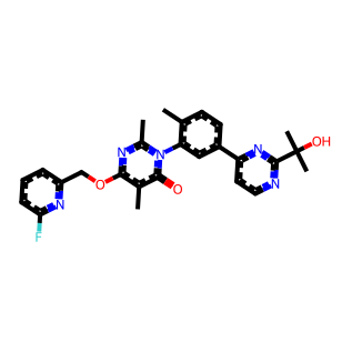 Cc1ccc(-c2ccnc(C(C)(C)O)n2)cc1-n1c(C)nc(OCc2cccc(F)n2)c(C)c1=O